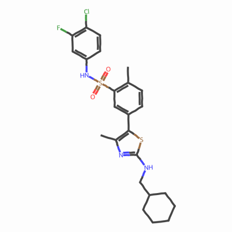 Cc1ccc(-c2sc(NCC3CCCCC3)nc2C)cc1S(=O)(=O)Nc1ccc(Cl)c(F)c1